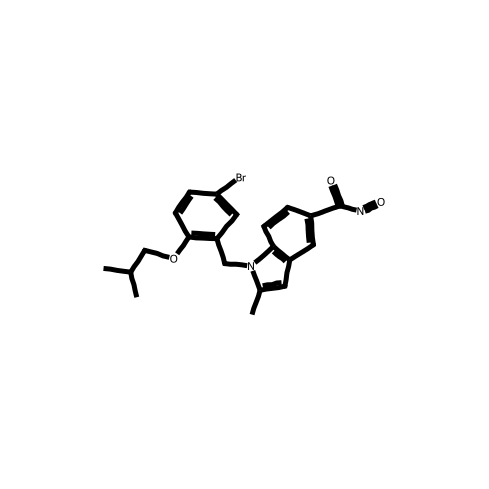 Cc1cc2cc(C(=O)N=O)ccc2n1Cc1cc(Br)ccc1OCC(C)C